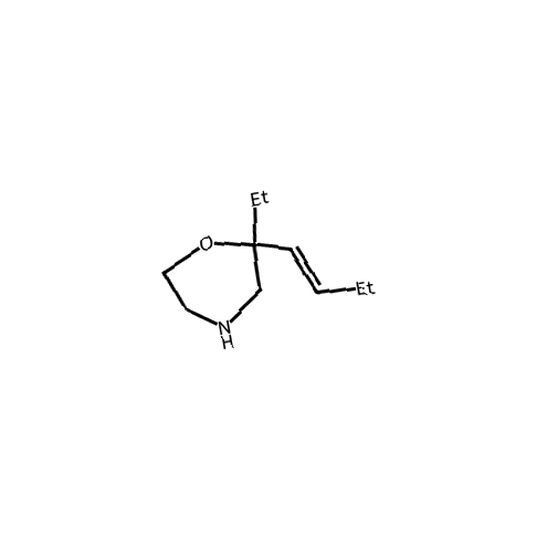 CCC=CC1(CC)CNCCO1